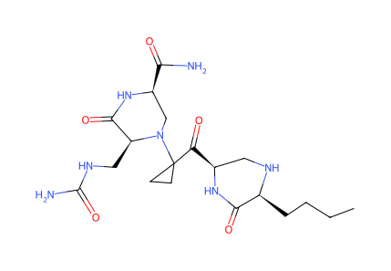 CCCC[C@@H]1NC[C@H](C(=O)C2(N3C[C@H](C(N)=O)NC(=O)[C@@H]3CNC(N)=O)CC2)NC1=O